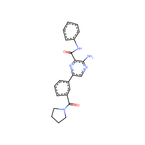 Nc1ncc(-c2cccc(C(=O)N3CCCC3)c2)nc1C(=O)Nc1ccccc1